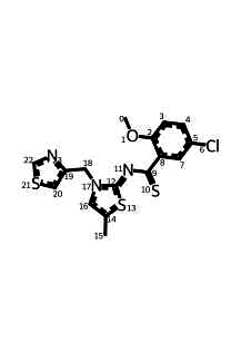 COc1ccc(Cl)cc1C(=S)N=c1sc(C)cn1Cc1cscn1